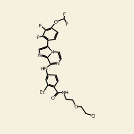 CCc1cc(Nc2nccn3c(-c4ccc(OC(F)F)c(F)c4F)cnc23)ccc1C(=O)NCCOCCCl